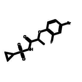 CC(Oc1ccc(Br)cc1F)C(=O)NS(=O)(=O)C1CC1